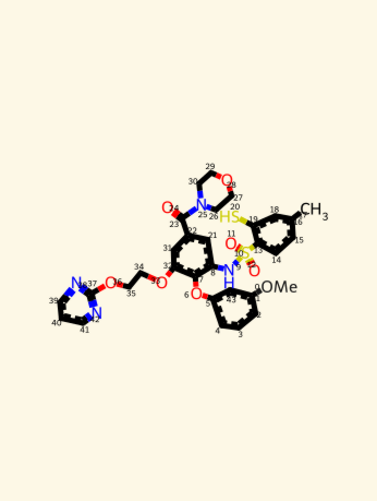 COc1cccc(Oc2c(NS(=O)(=O)c3ccc(C)cc3S)cc(C(=O)N3CCOCC3)cc2OCCOc2ncccn2)c1